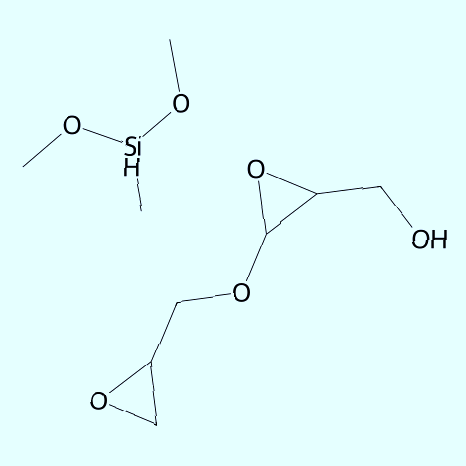 CO[SiH](C)OC.OCC1OC1OCC1CO1